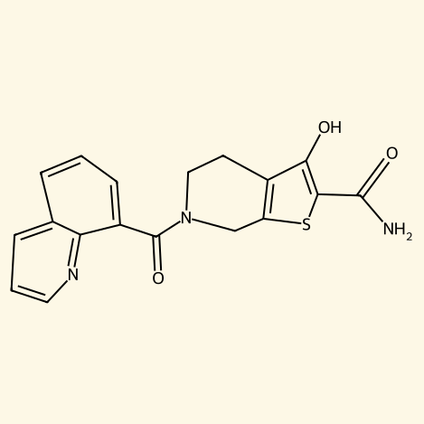 NC(=O)c1sc2c(c1O)CCN(C(=O)c1cccc3cccnc13)C2